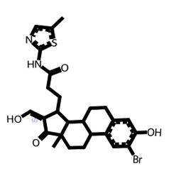 Cc1cnc(NC(=O)CCC2/C(=C/O)C(=O)C3(C)CCC4c5cc(Br)c(O)cc5CCC4C23)s1